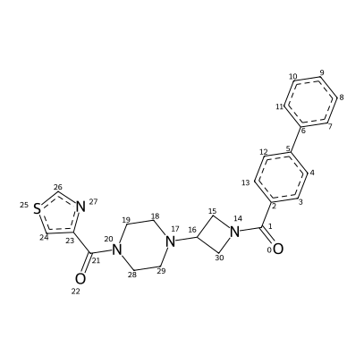 O=C(c1ccc(-c2ccccc2)cc1)N1CC(N2CCN(C(=O)c3cscn3)CC2)C1